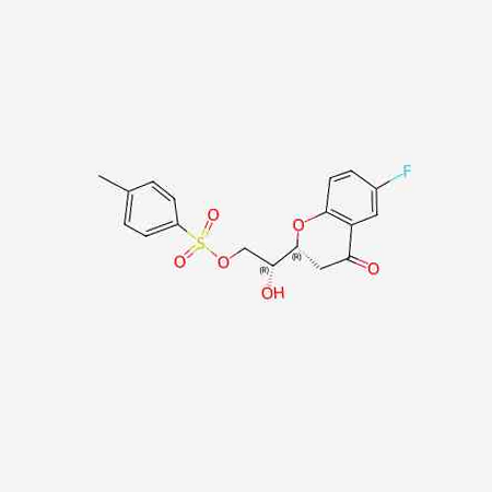 Cc1ccc(S(=O)(=O)OC[C@@H](O)[C@H]2CC(=O)c3cc(F)ccc3O2)cc1